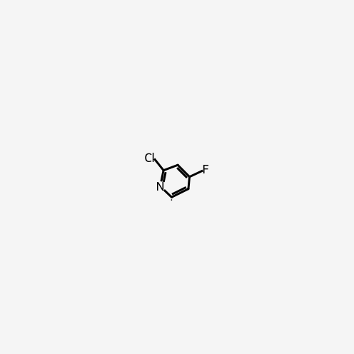 Fc1c[c]nc(Cl)c1